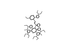 CCc1ccc(OC(CC)CC)c(C=CC(=O)c2c(OC(CC)CC)c(OC(CC)CC)cc(OC(CC)CC)c2OC(CC)CC)c1